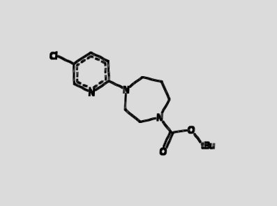 CC(C)(C)OC(=O)N1CCCN(c2ccc(Cl)cn2)CC1